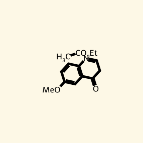 CCOC(C)=O.COc1ccc2c(c1)C(=O)CC=N2